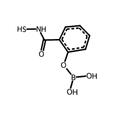 O=C(NS)c1ccccc1OB(O)O